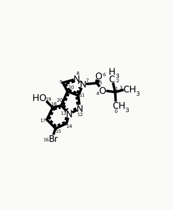 CC(C)(C)OC(=O)n1ncc2c1nn1cc(Br)cc(O)c21